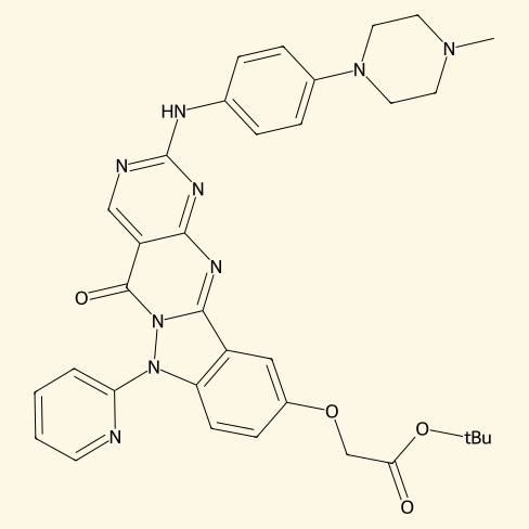 CN1CCN(c2ccc(Nc3ncc4c(=O)n5c(nc4n3)c3cc(OCC(=O)OC(C)(C)C)ccc3n5-c3ccccn3)cc2)CC1